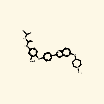 CCC(CC)NC(=O)Nc1ccc(Oc2ccc(-c3cc4cc(OC5CCN(C)CC5)ccc4o3)cc2)c(OC)c1